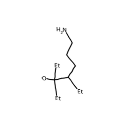 CCC(CCCN)C([O])(CC)CC